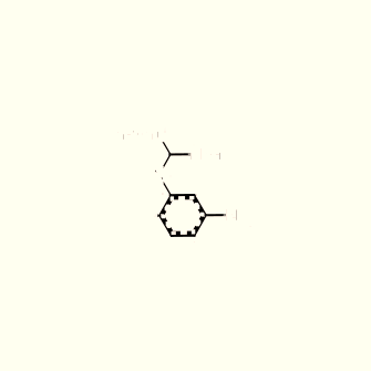 Bc1cccc(NC(CCCCC)CCCCC)c1